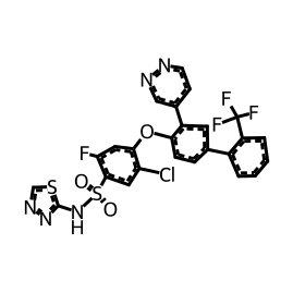 O=S(=O)(Nc1nncs1)c1cc(Cl)c(Oc2ccc(-c3ccccc3C(F)(F)F)cc2-c2ccnnc2)cc1F